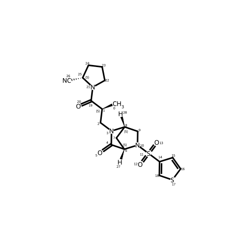 C[C@@H](CN1C(=O)[C@@H]2C[C@H]1CN2S(=O)(=O)c1ccsc1)C(=O)N1CCC[C@H]1C#N